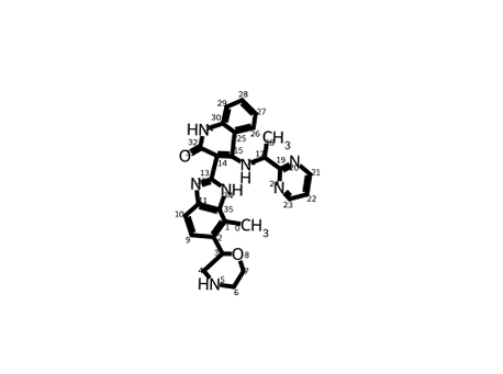 Cc1c(C2CNCCO2)ccc2nc(-c3c(NC(C)c4ncccn4)c4ccccc4[nH]c3=O)[nH]c12